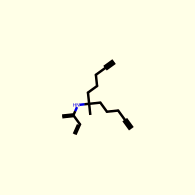 C#CCCCC(C)(CCCC#C)NC(=C)C=C